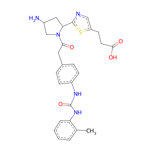 Cc1ccccc1NC(=O)Nc1ccc(CC(=O)N2CC(N)CC2c2ncc(CCC(=O)O)s2)cc1